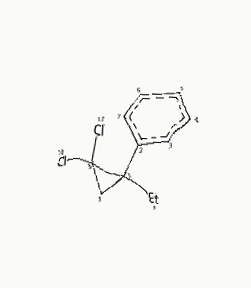 CCC1(c2ccccc2)CC1(Cl)Cl